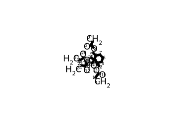 C=CC(=O)OCC1CCCC(O)(COC(=O)C=C)C1(COC(=O)C=C)COC(=O)C=C